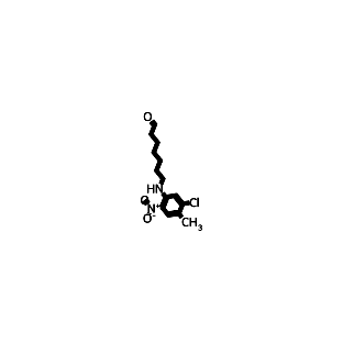 Cc1cc([N+](=O)[O-])c(NCCCCCCC=O)cc1Cl